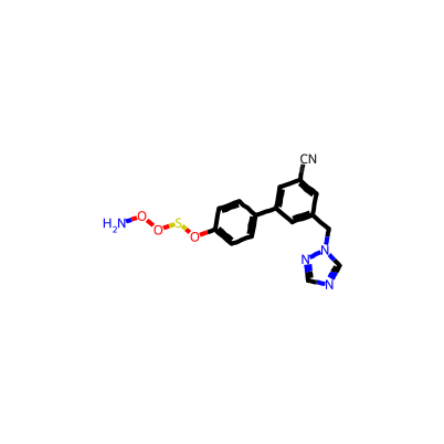 N#Cc1cc(Cn2cncn2)cc(-c2ccc(OSOON)cc2)c1